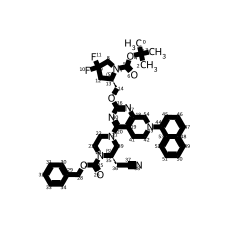 CC(C)(C)OC(=O)N1CC(F)(F)C[C@H]1COc1nc2c(c(N3CCN(C(=O)OCc4ccccc4)[C@@H](CC#N)C3)n1)CCN(c1cccc3ccccc13)C2